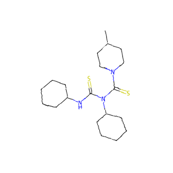 CC1CCN(C(=S)N(C(=S)NC2CCCCC2)C2CCCCC2)CC1